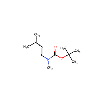 C=C(C)CCN(C)C(=O)OC(C)(C)C